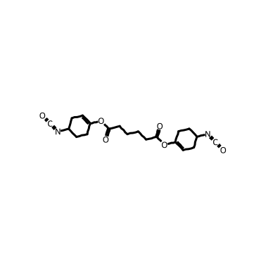 O=C=NC1CC=C(OC(=O)CCCCC(=O)OC2=CCC(N=C=O)CC2)CC1